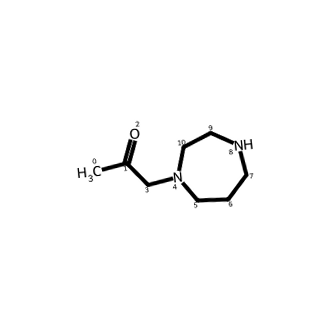 CC(=O)CN1CCCNCC1